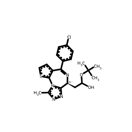 Cc1nnc2n1-c1sccc1C(c1ccc(Cl)cc1)=N[C@H]2CC(O)OC(C)(C)C